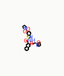 O=C(Nc1nc2ccc(S(=O)(=O)N3CCCC3)cc2s1)c1cc2ccccc2cc1OCCN1CC2CCC1CO2